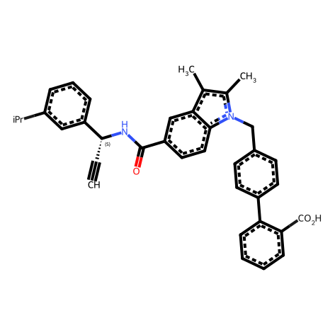 C#C[C@@H](NC(=O)c1ccc2c(c1)c(C)c(C)n2Cc1ccc(-c2ccccc2C(=O)O)cc1)c1cccc(C(C)C)c1